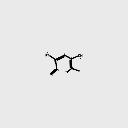 C=C/C(=C\C(C#N)=C(C)C)C(C)C